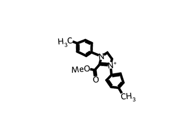 COC(=O)C1=[N+](c2ccc(C)cc2)CCN1c1ccc(C)cc1